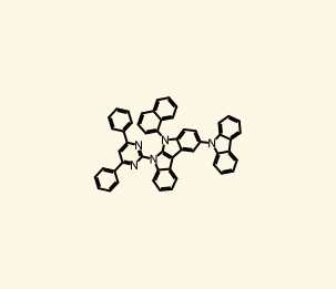 c1ccc(-c2cc(-c3ccccc3)nc(-n3c4ccccc4c4c5cc(-n6c7ccccc7c7ccccc76)ccc5n(-c5cccc6ccccc56)c43)n2)cc1